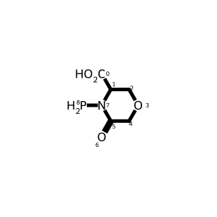 O=C(O)C1COCC(=O)N1P